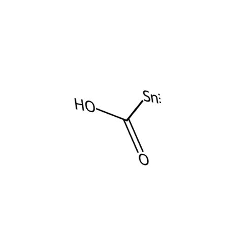 O=[C](O)[Sn]